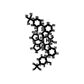 Cc1cc(C(C)(C)C)ccc1-c1cccc2c1C=C1[CH]2[Hf]([CH3])([CH3])[CH]2C(=Cc3c(-c4ccc(C(C)(C)C)cc4C)cccc32)[Si]1(C1CCCC1)C1CCCC1